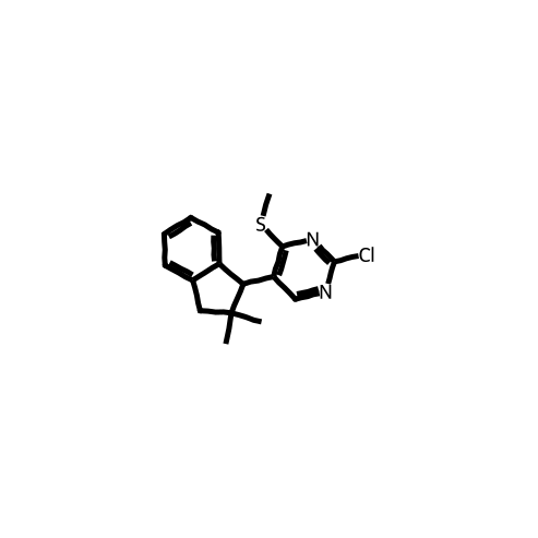 CSc1nc(Cl)ncc1C1c2ccccc2CC1(C)C